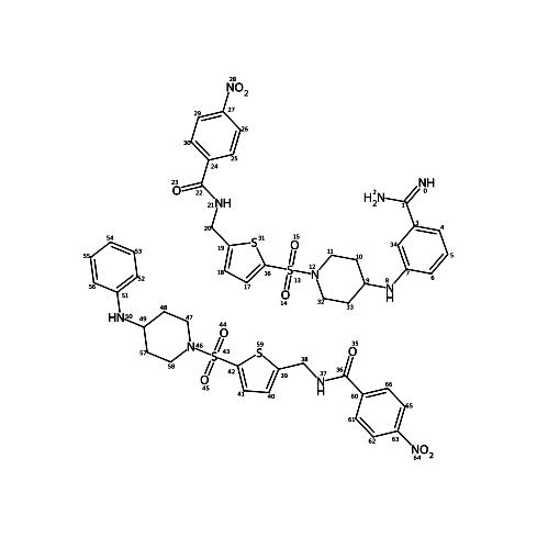 N=C(N)c1cccc(NC2CCN(S(=O)(=O)c3ccc(CNC(=O)c4ccc([N+](=O)[O-])cc4)s3)CC2)c1.O=C(NCc1ccc(S(=O)(=O)N2CCC(Nc3ccccc3)CC2)s1)c1ccc([N+](=O)[O-])cc1